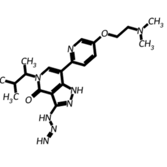 CC(C)C(C)n1cc(-c2ccc(OCCN(C)C)cn2)c2[nH]nc(NN=N)c2c1=O